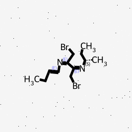 CC/C=C/N=C(CBr)\C(CBr)=N/[C@@H](C)CC